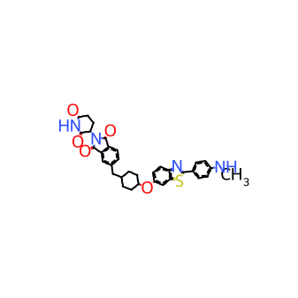 CNc1ccc(-c2nc3ccc(OC4CCC(Cc5ccc6c(c5)C(=O)N(C5CCC(=O)NC5=O)C6=O)CC4)cc3s2)cc1